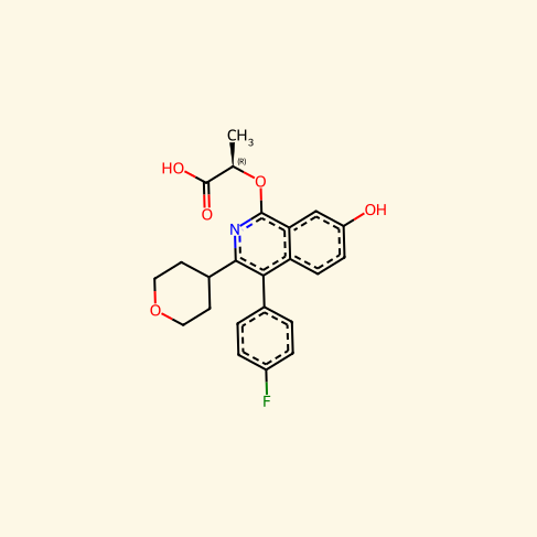 C[C@@H](Oc1nc(C2CCOCC2)c(-c2ccc(F)cc2)c2ccc(O)cc12)C(=O)O